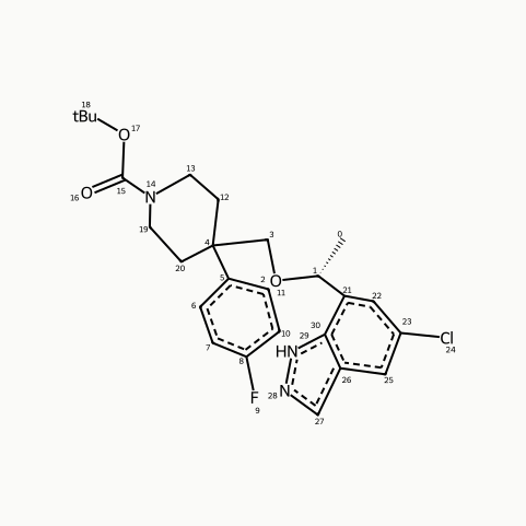 C[C@@H](OCC1(c2ccc(F)cc2)CCN(C(=O)OC(C)(C)C)CC1)c1cc(Cl)cc2cn[nH]c12